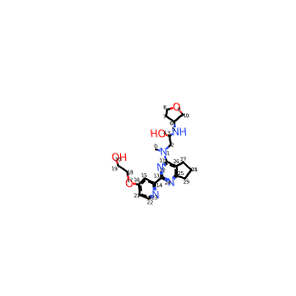 CN(CC(O)NC1CCOC1)c1nc(-c2cc(OCCO)ccn2)nc2c1CCC2